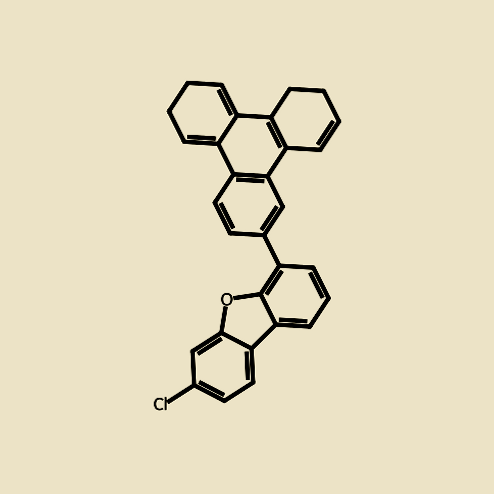 Clc1ccc2c(c1)oc1c(-c3ccc4c5c(c6c(c4c3)C=CCC6)=CCCC=5)cccc12